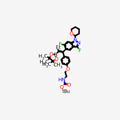 CC/C(B1OC(C)(C)C(C)(C)O1)=C(/c1ccc(OCCNC(=O)OC(C)(C)C)cc1)c1cc2c(F)nn(C3CCCCO3)c2cc1F